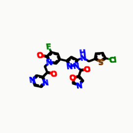 O=C(Cn1cc(-c2cc(NCc3ccc(Cl)s3)n(C(=O)c3cnco3)n2)cc(F)c1=O)c1cnccn1